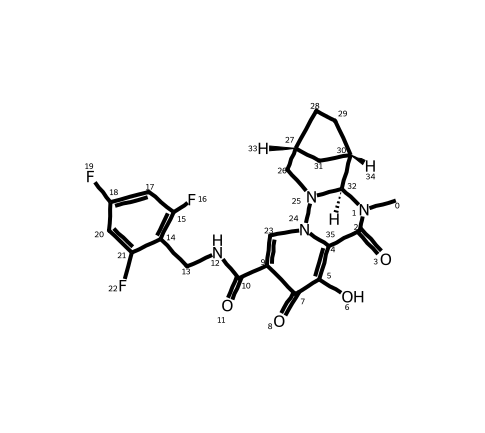 CN1C(=O)c2c(O)c(=O)c(C(=O)NCc3c(F)cc(F)cc3F)cn2N2C[C@@H]3CC[C@@H](C3)[C@@H]12